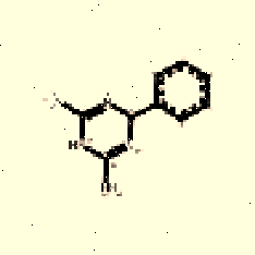 NC1=NC(c2ccccc2)N=C(N)N1